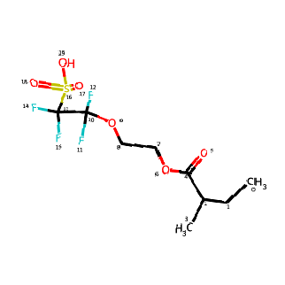 CCC(C)C(=O)OCCOC(F)(F)C(F)(F)S(=O)(=O)O